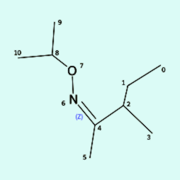 CCC(C)/C(C)=N\OC(C)C